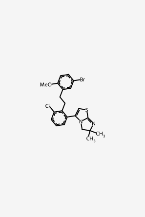 COc1ccc(Br)cc1CCc1c(Cl)cccc1C1=CSC2=NC(C)(C)CN12